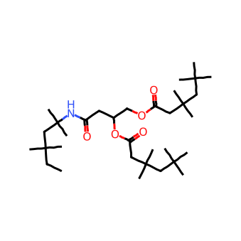 CCC(C)(C)CC(C)(C)NC(=O)CC(COC(=O)CC(C)(C)CC(C)(C)C)OC(=O)CC(C)(C)CC(C)(C)C